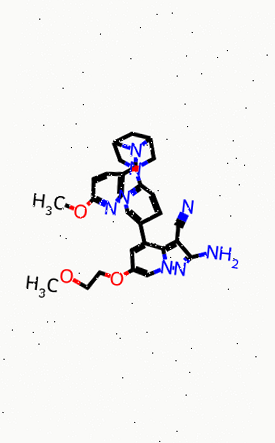 COCCOc1cc(-c2ccc(N3CC4CC(C3)N4Cc3ccc(OC)nc3)nc2)c2c(C#N)c(N)nn2c1